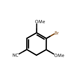 COC1=C(Br)C(OC)CC(C#N)=C1